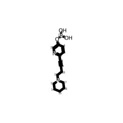 OB(O)Oc1ccc(C#CCCN2CCCCC2)nc1